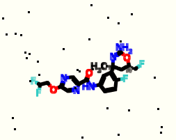 C[C@@]1(c2cc(NC(=O)c3cnc(OCC(F)F)cn3)ccc2F)C[C@@H](CF)OC(N)=N1